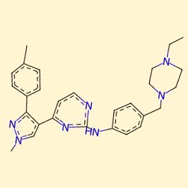 CCN1CCN(Cc2ccc(Nc3nccc(-c4cn(C)nc4-c4ccc(C)cc4)n3)cc2)CC1